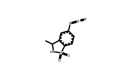 CC1NS(=O)(=O)c2ccc(N=[N+]=[N-])cc21